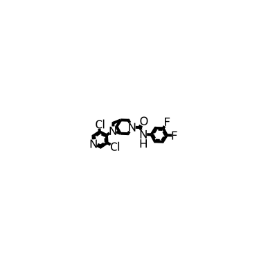 O=C(Nc1ccc(F)c(F)c1)N1CC2CC(C1)N(c1c(Cl)cncc1Cl)C2